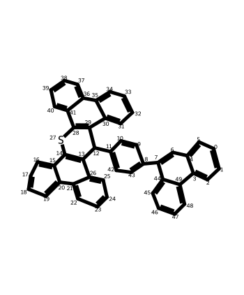 c1ccc2c(c1)cc(-c1ccc(C3c4c(c5ccccc5c5ccccc45)Sc4c3c3ccccc3c3ccccc43)cc1)c1ccccc12